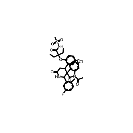 CCC(CC)(Oc1ccc(Cl)cc1C1CC(=O)NC(c2cc(F)ccc2C)C12C(=O)N(C(C)=O)c1cc(Cl)ccc12)C(=O)NS(C)(=O)=O